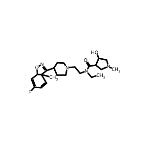 CCN(CCN1CCC(C2=NOC3C=C(F)C=CC23C)CC1)C(=O)C1CN(C)CC1O